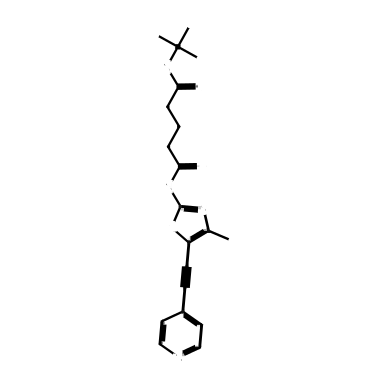 Cc1nc(NC(=O)CCCC(=O)NC(C)(C)C)sc1C#Cc1ccncc1